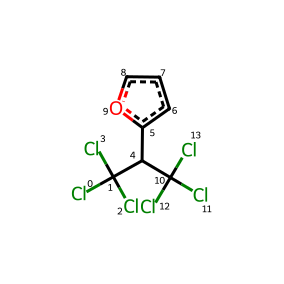 ClC(Cl)(Cl)C(c1ccco1)C(Cl)(Cl)Cl